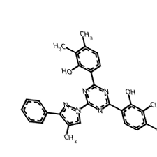 Cc1cn(-c2nc(-c3ccc(C)c(C)c3O)nc(-c3ccc(C)c(C)c3O)n2)nc1-c1ccccc1